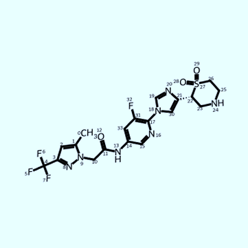 Cc1cc(C(F)(F)F)nn1CC(=O)Nc1cnc(-n2cnc([C@H]3CNCCS3(=O)=O)c2)c(F)c1